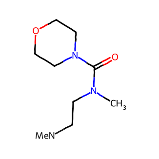 CNCCN(C)C(=O)N1CCOCC1